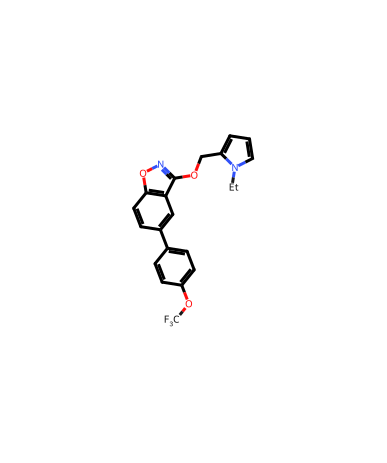 CCn1cccc1COc1noc2ccc(-c3ccc(OC(F)(F)F)cc3)cc12